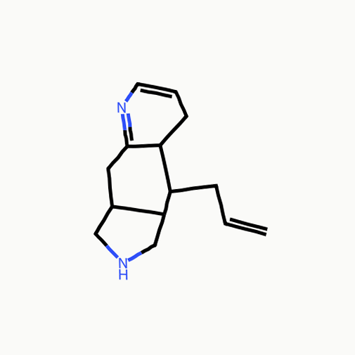 C=CCC1C2CC=CN=C2CC2CNCC21